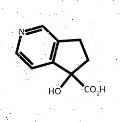 O=C(O)C1(O)CCc2cnccc21